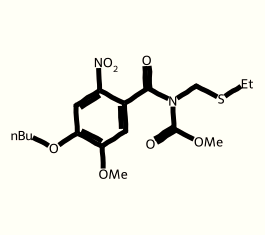 CCCCOc1cc([N+](=O)[O-])c(C(=O)N(CSCC)C(=O)OC)cc1OC